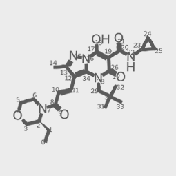 CC[C@H]1COCCN1C(=O)/C=C/c1c(C)nn2c(O)c(C(=O)NC3CC3)c(=O)n(CC(C)(C)C)c12